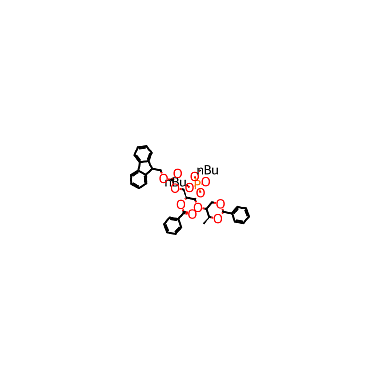 CCCCOP(=O)(OCCCC)O[C@H](OC1COC(c2ccccc2)O[C@H]1C)[C@H](COC(=O)OCC1c2ccccc2-c2ccccc21)OC(=O)c1ccccc1